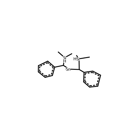 C[SiH](C)[CH]([Sn][CH](c1ccccc1)[SiH](C)C)c1ccccc1